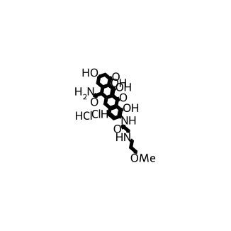 COCCCNCC(=O)Nc1ccc2c(c1O)C(=O)C1=C(O)C3(O)C(=O)CC(O)CC3C(C(N)=O)C1C2.Cl.Cl